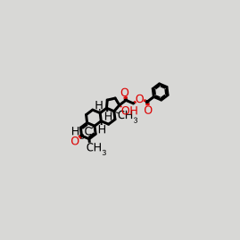 CC1=C[C@@]2(C)C(=CC1=O)CC[C@@H]1[C@@H]2CC[C@@]2(C)[C@H]1CC[C@]2(O)C(=O)COC(=O)c1ccccc1